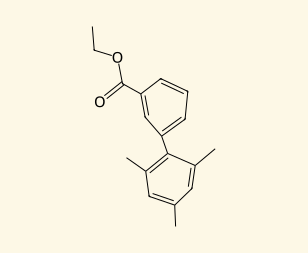 CCOC(=O)c1cccc(-c2c(C)cc(C)cc2C)c1